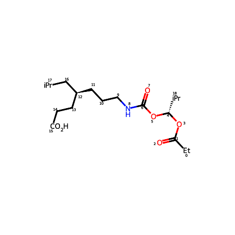 CCC(=O)O[C@H](OC(=O)NCCC[C@@H](CCC(=O)O)CC(C)C)C(C)C